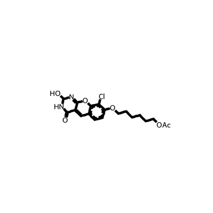 CC(=O)OCCCCCCOc1ccc2c(c1Cl)OC1=NC(O)NC(=O)C1=C2